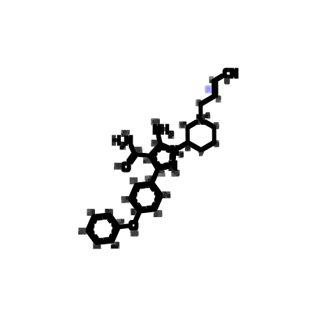 N#C/C=C/CN1CCCC(n2nc(-c3ccc(Oc4ccccc4)cc3)c(C(N)=O)c2N)C1